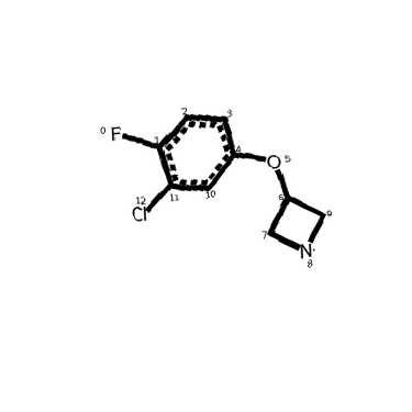 Fc1ccc(OC2C[N]C2)cc1Cl